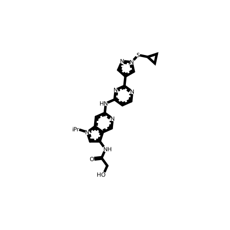 CC(C)n1cc(NC(=O)CO)c2cnc(Nc3ccnc(-c4cnn(SC5CC5)c4)n3)cc21